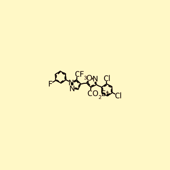 CCOC(=O)c1c(-c2ccc(Cl)cc2Cl)noc1-c1cnn(-c2cccc(F)c2)c1C(F)(F)F